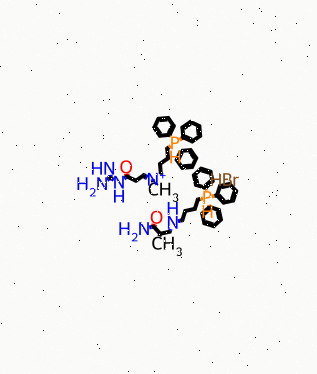 Br.CC(CNCCCC[PH](c1ccccc1)(c1ccccc1)c1ccccc1)C(N)=O.C[N+](=CCC(=O)NC(=N)N)CCCC[PH](c1ccccc1)(c1ccccc1)c1ccccc1